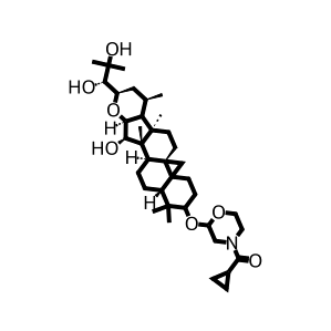 C[C@@H]1C[C@H]([C@H](O)C(C)(C)O)O[C@H]2C1[C@@]1(C)CC[C@@]34CC35CCC(OC3CN(C(=O)C6CC6)CCO3)C(C)(C)[C@@H]5CC[C@H]4[C@]1(C)[C@H]2O